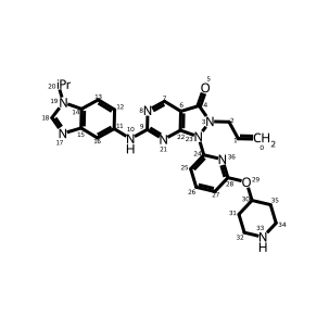 C=CCn1c(=O)c2cnc(Nc3ccc4c(c3)ncn4C(C)C)nc2n1-c1cccc(OC2CCNCC2)n1